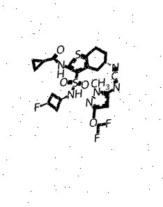 Cn1nc(OC(F)F)cc1N=C=N[C@H]1CCc2sc(NC(=O)C3CC3)c(S(=O)(=O)N[C@H]3C[C@@H](F)C3)c2C1